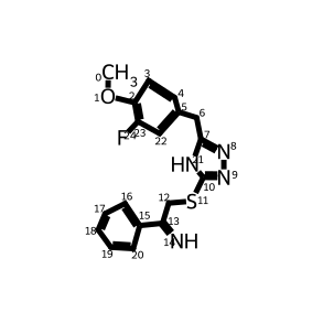 COc1ccc(Cc2nnc(SCC(=N)c3ccccc3)[nH]2)cc1F